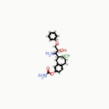 Cl.NC(=O)Oc1ccc2c(c1)CC(C(N)[C@H](O)COc1ccccc1)CCC2